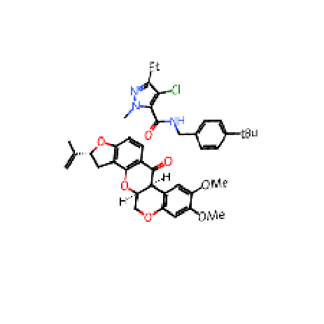 C=C(C)[C@H]1Cc2c(ccc3c2O[C@@H]2COc4cc(OC)c(OC)cc4[C@@H]2C3=O)O1.CCc1nn(C)c(C(=O)NCc2ccc(C(C)(C)C)cc2)c1Cl